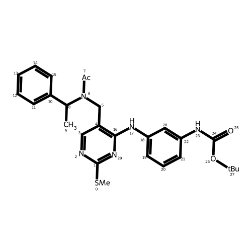 CSc1ncc(CN(C(C)=O)C(C)c2ccccc2)c(Nc2cccc(NC(=O)OC(C)(C)C)c2)n1